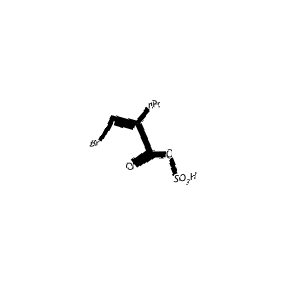 CCCC(=CBr)C(=O)OS(=O)(=O)O